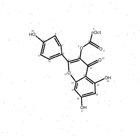 CCCCCCCCC(=O)Oc1c(-c2ccc(O)cc2)oc2cc(O)cc(O)c2c1=O